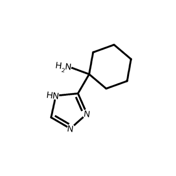 NC1(c2nnc[nH]2)CCCCC1